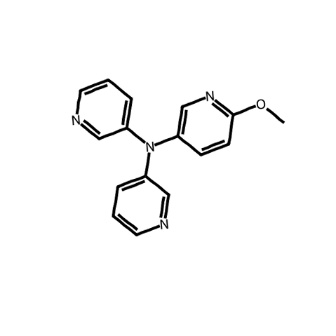 COc1ccc(N(c2cccnc2)c2cccnc2)cn1